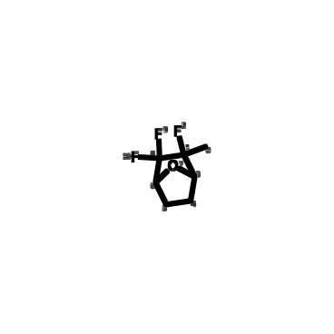 CC1(F)C2CCC(O2)C1(F)F